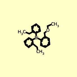 CCOCc1cccc[c]1[Bi]([c]1ccccc1CC)[c]1ccccc1CC